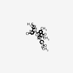 COC(=O)N1CCC(n2ncc3c4c(C(C)Nc5ccc(Cl)nc5-c5cnn(C)c5)cc(C)cc4c(=O)n(C)c32)CC1